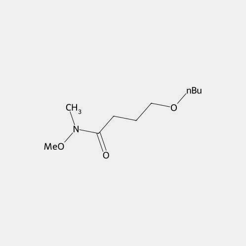 CCCCOCCCC(=O)N(C)OC